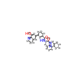 O=C(NC(Cc1ccccc1)C(=O)NCC1CCCCC1)c1cccc(-c2cc(O)c3ncccc3c2)c1